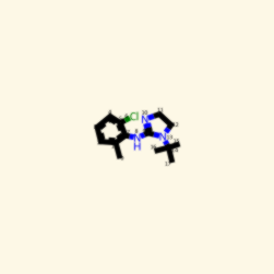 Cc1cccc(Cl)c1NC1=NCCN1C(C)(C)C